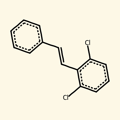 Clc1cccc(Cl)c1C=Cc1ccccc1